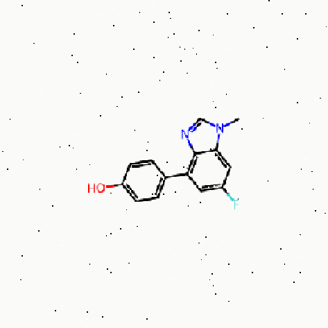 Cn1cnc2c(-c3ccc(O)cc3)cc(F)cc21